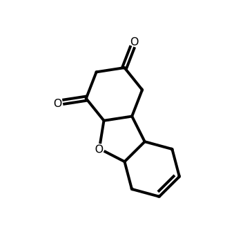 O=C1CC(=O)C2OC3CC=CCC3C2C1